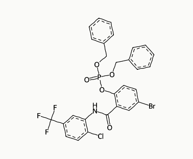 O=C(Nc1cc(C(F)(F)F)ccc1Cl)c1cc(Br)ccc1OP(=O)(OCc1ccccc1)OCc1ccccc1